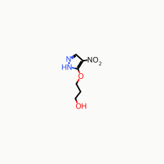 O=[N+]([O-])c1cn[nH]c1OCCCO